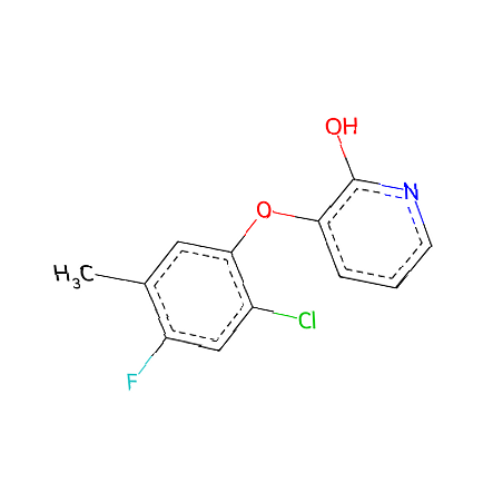 Cc1cc(Oc2cccnc2O)c(Cl)cc1F